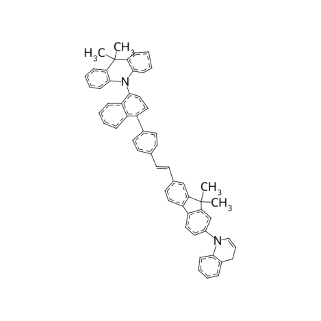 CC1(C)c2cc(/C=C/c3ccc(-c4ccc(N5c6ccccc6C(C)(C)c6ccccc65)c5ccccc45)cc3)ccc2-c2ccc(N3C=CCc4ccccc43)cc21